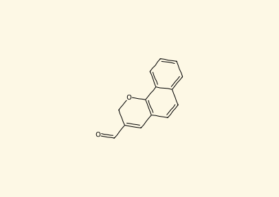 O=CC1=Cc2ccc3ccccc3c2OC1